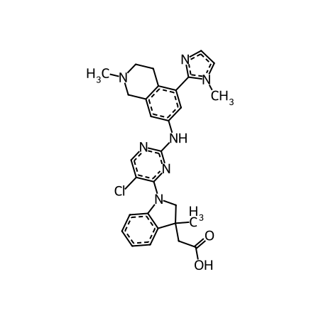 CN1CCc2c(cc(Nc3ncc(Cl)c(N4CC(C)(CC(=O)O)c5ccccc54)n3)cc2-c2nccn2C)C1